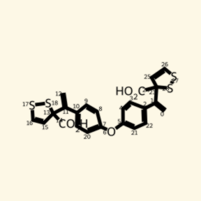 C=C(c1ccc(Oc2ccc(C(=C)C3(C(=O)O)C=CSS3)cc2)cc1)C1(C(=O)O)C=CSS1